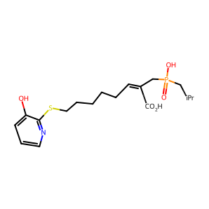 CC(C)CP(=O)(O)C/C(=C/CCCCCSc1ncccc1O)C(=O)O